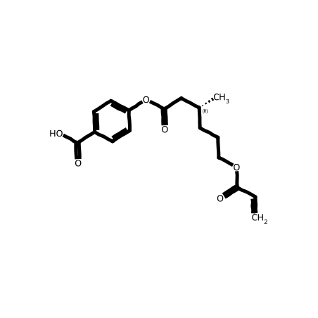 C=CC(=O)OCCC[C@@H](C)CC(=O)Oc1ccc(C(=O)O)cc1